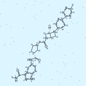 CNC(=O)c1n[nH]c2ccc(NC(=O)[C@@H]3CCN(CC(=O)N4C[C@@H]5C4CN5c4ccc(-c5ncc(C)cn5)cc4)C3)cc12